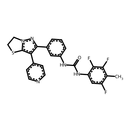 Cc1c(F)cc(NC(=O)Nc2cccc(-c3nn4c(c3-c3ccncc3)SCC4)c2)c(F)c1F